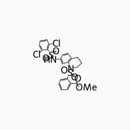 COC(=O)c1ccccc1S(=O)(=O)N1CCCc2ccc(NS(=O)(=O)c3c(Cl)cccc3Cl)cc21